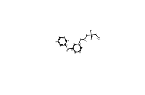 CC(C)(CCl)COCc1cccc(Oc2ccccc2)c1